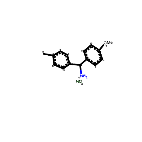 COc1ccc(C(N)c2ccc(C)cc2)cc1.Cl